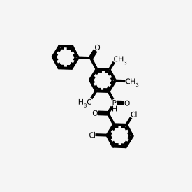 Cc1cc(C(=O)c2ccccc2)c(C)c(C)c1[PH](=O)C(=O)c1c(Cl)cccc1Cl